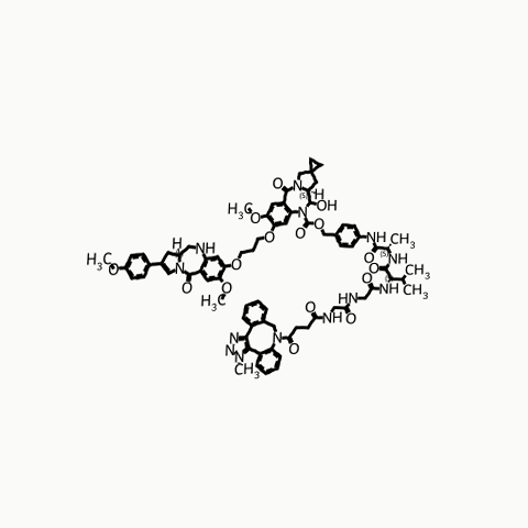 COc1ccc(C2=CN3C(=O)c4cc(OC)c(OCCCOc5cc6c(cc5OC)C(=O)N5CC7(CC7)C[C@H]5C(O)N6C(=O)OCc5ccc(NC(=O)[C@H](C)NC(=O)[C@@H](NC(=O)CNC(=O)CNC(=O)CCC(=O)N6Cc7ccccc7-c7nnn(C)c7-c7ccccc76)C(C)C)cc5)cc4NC[C@@H]3C2)cc1